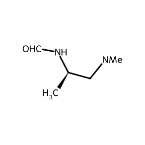 CNC[C@@H](C)NC=O